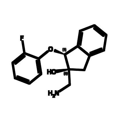 NC[C@@]1(O)Cc2ccccc2[C@H]1Oc1ccccc1F